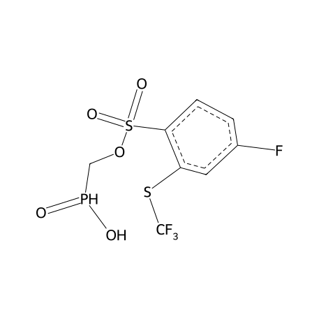 O=[PH](O)COS(=O)(=O)c1ccc(F)cc1SC(F)(F)F